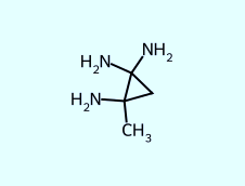 CC1(N)CC1(N)N